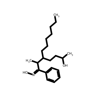 CCCCCCCC(CCC(C)O)C(C)C(=NO)c1ccccc1